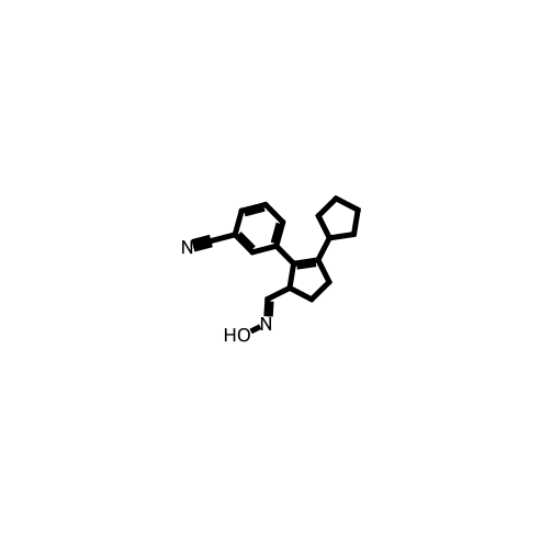 N#Cc1cccc(C2=C(C3CCCC3)CCC2C=NO)c1